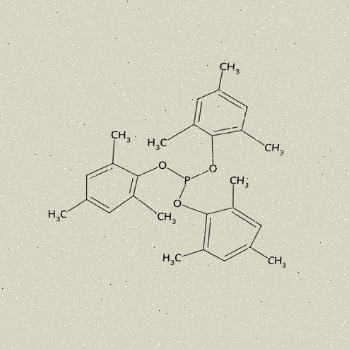 Cc1cc(C)c(OP(Oc2c(C)cc(C)cc2C)Oc2c(C)cc(C)cc2C)c(C)c1